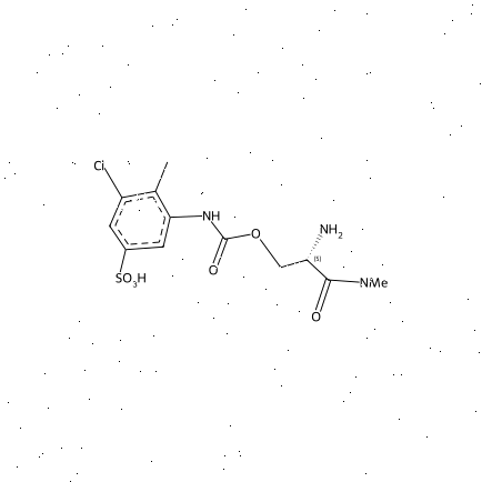 CNC(=O)[C@@H](N)COC(=O)Nc1cc(S(=O)(=O)O)cc(Cl)c1C